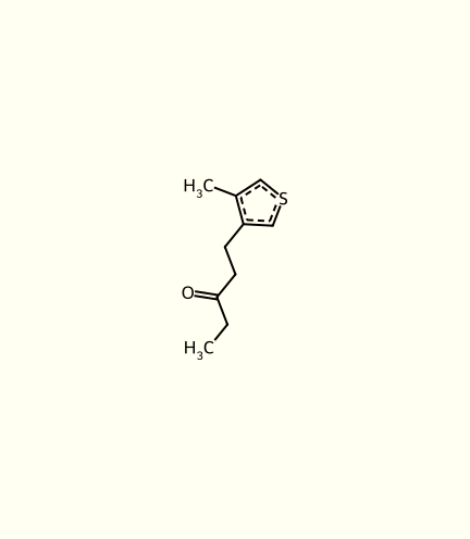 CCC(=O)CCc1cscc1C